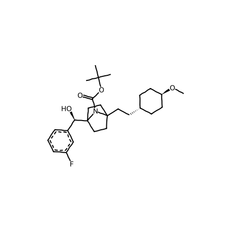 CO[C@H]1CC[C@H](CCC23CCC([C@H](O)c4cccc(F)c4)(CC2)N3C(=O)OC(C)(C)C)CC1